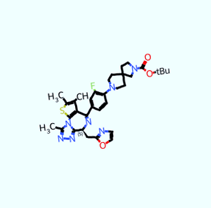 Cc1sc2c(c1C)C(c1ccc(N3CCC4(CCN(C(=O)OC(C)(C)C)C4)CC3)c(F)c1)=N[C@@H](Cc1ncco1)c1nnc(C)n1-2